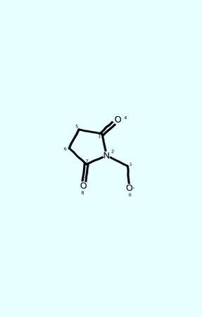 [O]CN1C(=O)CCC1=O